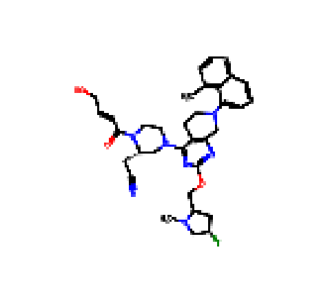 Cc1cccc2cccc(N3CCc4c(nc(OCC5C[C@@H](F)CN5C)nc4N4CCN(C(=O)/C=C/CO)[C@@H](CC#N)C4)C3)c12